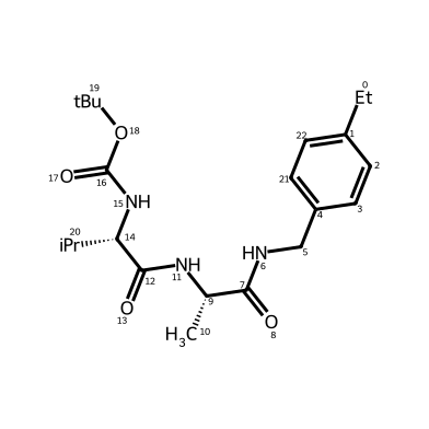 CCc1ccc(CNC(=O)[C@H](C)NC(=O)[C@@H](NC(=O)OC(C)(C)C)C(C)C)cc1